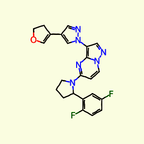 Fc1ccc(F)c(C2CCCN2c2ccn3ncc(-n4cc(C5=COCC5)cn4)c3n2)c1